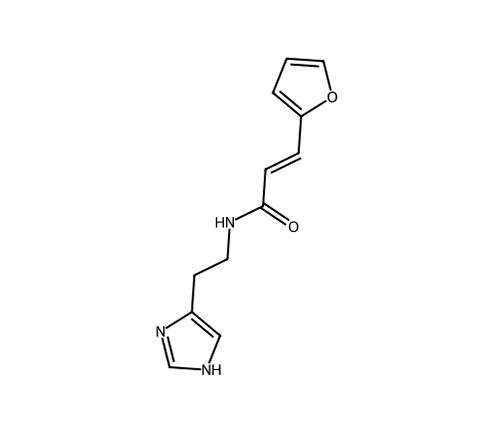 O=C(C=Cc1ccco1)NCCc1c[nH]cn1